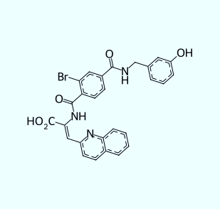 O=C(O)C(=Cc1ccc2ccccc2n1)NC(=O)c1ccc(C(=O)NCc2cccc(O)c2)cc1Br